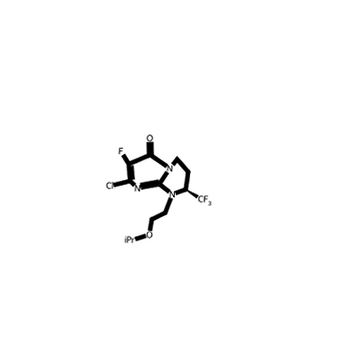 CC(C)OCCN1c2nc(Cl)c(F)c(=O)n2CC[C@H]1C(F)(F)F